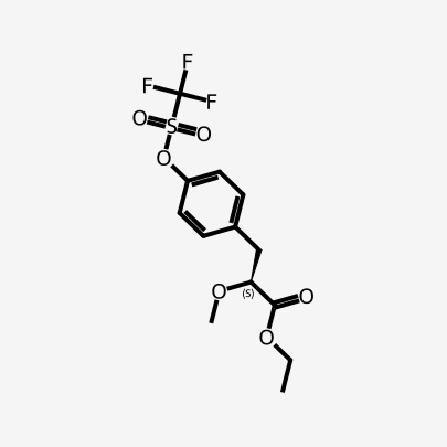 CCOC(=O)[C@H](Cc1ccc(OS(=O)(=O)C(F)(F)F)cc1)OC